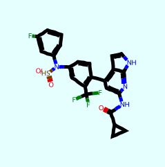 O=C(Nc1cc(-c2ccc(N(c3cccc(F)c3)[SH](=O)=O)cc2C(F)(F)F)c2cc[nH]c2n1)C1CC1